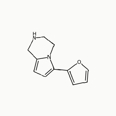 c1coc(-c2ccc3n2CCNC3)c1